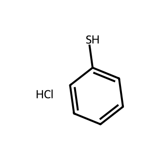 Cl.Sc1ccccc1